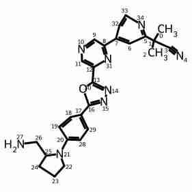 CC(C)(C#N)c1cc(-c2cncc(-c3nnc(-c4ccc(N5CCCC5CN)cc4)o3)n2)ccn1